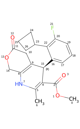 COC(=O)C1=C(C)NC2=C(CC(=O)OC2)[C@H]1c1cccc(F)c1C1CCC1